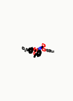 CC(OC(=O)Oc1ccc([N+](=O)[O-])cc1)c1cccc(NC(=O)OC(C)(C)C)c1